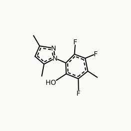 Cc1cc(C)n(-c2c(O)c(F)c(C)c(F)c2F)n1